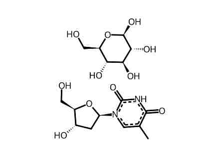 Cc1cn([C@H]2C[C@H](O)[C@@H](CO)O2)c(=O)[nH]c1=O.OC[C@H]1O[C@@H](O)[C@H](O)[C@@H](O)[C@@H]1O